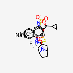 Cc1cc(S(=O)[O-])cc2sc(N3C4CCC3CC(OCc3c(-c5ccccc5OC(F)(F)F)noc3C3CC3)C4)nc12.[Na+]